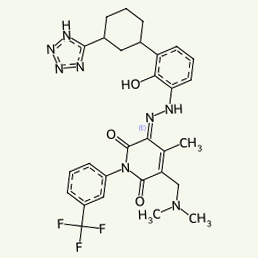 CC1=C(CN(C)C)C(=O)N(c2cccc(C(F)(F)F)c2)C(=O)/C1=N/Nc1cccc(C2CCCC(c3nnn[nH]3)C2)c1O